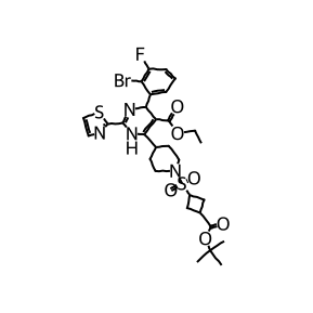 CCOC(=O)C1=C(C2CCN(S(=O)(=O)C3CC(C(=O)OC(C)(C)C)C3)CC2)NC(c2nccs2)=NC1c1cccc(F)c1Br